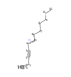 B=CC#C/C=C/CCCCCC